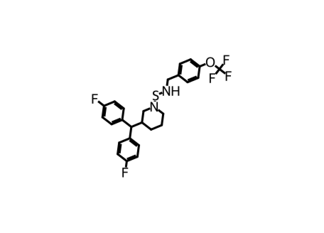 Fc1ccc(C(c2ccc(F)cc2)C2CCCN(SNCc3ccc(OC(F)(F)F)cc3)C2)cc1